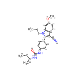 CCCn1c(-c2ccc(NC(=O)NC(C)CC)cc2)c(C#N)c2ccc(OC)cc21